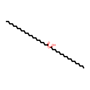 CCCCCCCCCCCCCCCCCCCCCC(=O)OC(O)CCCCCCCCCCCCCCCCC